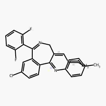 Cc1ccc(\N=C2/C(=C\N=C\N)CN=C(c3c(F)cccc3F)c3cc(Cl)ccc32)cc1